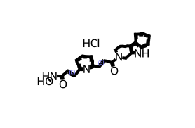 Cl.O=C(/C=C/c1cccc(/C=C/C(=O)N2CCc3c([nH]c4ccccc34)C2)n1)NO